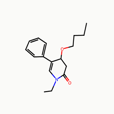 CCCCOC1CC(=O)N(CC)C=C1c1ccccc1